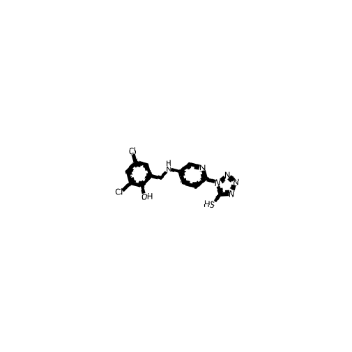 Oc1c(Cl)cc(Cl)cc1CNc1ccc(-n2nnnc2S)nc1